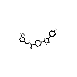 CN1CCC(CNC(=O)C2CCN(c3nc(-c4ccc(Cl)cc4)no3)CC2)C1